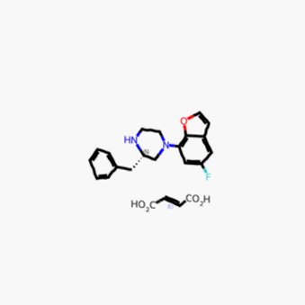 Fc1cc(N2CCN[C@@H](Cc3ccccc3)C2)c2occc2c1.O=C(O)/C=C/C(=O)O